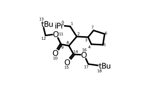 CC(C)CC(C1CCCC1)C(C(=O)OCC(C)(C)C)C(=O)OCC(C)(C)C